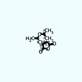 C=C(C)OC(=C)C.O=C1C=CC(=O)O1